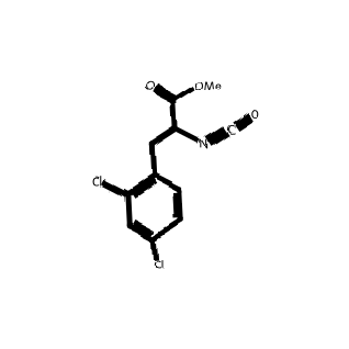 COC(=O)C(Cc1ccc(Cl)cc1Cl)N=C=O